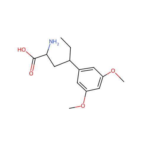 CCC(CC(N)C(=O)O)c1cc(OC)cc(OC)c1